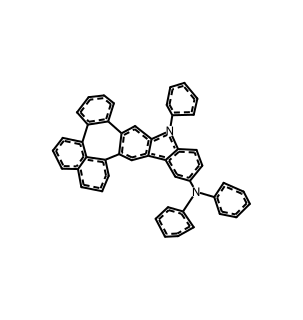 c1ccc(N(c2ccccc2)c2ccc3c(c2)c2cc4c(cc2n3-c2ccccc2)-c2ccccc2-c2cccc3cccc-4c23)cc1